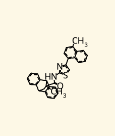 Cc1ccc(-c2csc(NC(=O)C3(C)CC4c5ccccc5C3c3ccccc34)n2)c2ccccc12